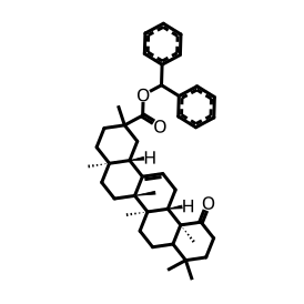 CC1(C(=O)OC(c2ccccc2)c2ccccc2)CC[C@]2(C)CC[C@]3(C)C(=CC[C@@H]4[C@@]5(C)C(=O)CCC(C)(C)C5CC[C@]43C)[C@H]2C1